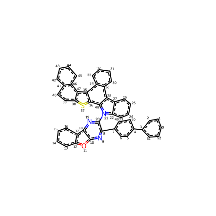 c1ccc(-c2ccc(-c3nc4oc5ccccc5c4nc3-n3c4ccccc4c4c5ccccc5c5c(sc6ccc7ccccc7c65)c43)cc2)cc1